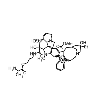 CCC1(O)CC2C[N@](CCc3c([nH]c4ccccc34)[C@@](C(=O)OC)(c3cc4c(cc3OC)N(C)C3C45CCN4CC=C[C@](CC)(C45)[C@@H](O)[C@]3(O)C(=O)NCCCOC(=O)[C@@H](C)N)C2)C1